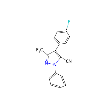 N#Cc1c(-c2ccc(F)cc2)c(C(F)(F)F)nn1-c1ccccc1